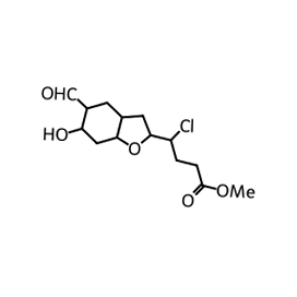 COC(=O)CCC(Cl)C1CC2CC(C=O)C(O)CC2O1